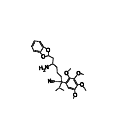 COc1cc(C(C#N)(CCCC(N)CC2Oc3ccccc3O2)C(C)C)c(OC)c(OC)c1OC